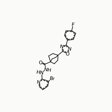 O=C(NNc1ncccc1Br)C12CCC(c3nc(-c4ccc(F)cc4)no3)(CC1)CC2